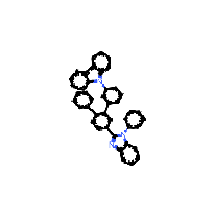 c1ccc(-c2ccc(-c3nc4ccccc4n3-c3ccccc3)cc2-c2cccc(-n3c4ccccc4c4ccccc43)c2)cc1